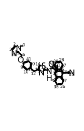 Cn1ccnc1COc1ccc(Cc2csc(NC(=O)C3(C)CC4(C#N)c5ccccc5C3c3ccccc34)n2)cc1